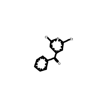 CCc1cc(C(=O)c2ccccc2)cc(Cl)n1